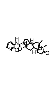 CC1=C2N(C)C(=O)CC[C@]2(C)[C@H]2CC[C@]3(C)[C@@H](C(=O)Nc4cccnc4Cl)CC[C@H]3[C@@H]2C1